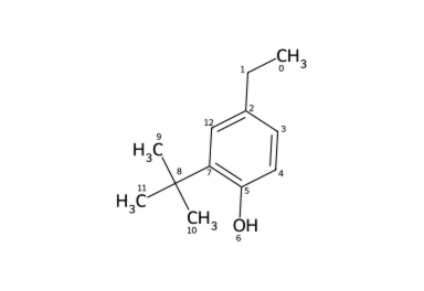 CCc1ccc(O)c(C(C)(C)C)c1